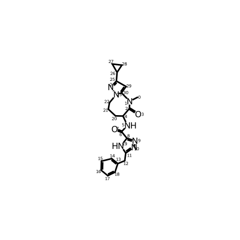 CN1C(=O)C(NC(=O)c2nnc(Cc3ccccc3)[nH]2)CCCn2nc(C3CC3)cc21